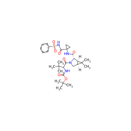 CC(C)(C)OC(=O)NC(C(=O)N1C[C@H]2[C@@H]([C@H]1C(=O)NC1(C(=O)NS(=O)(=O)c3ccccc3)CC1)C2(C)C)C(C)(C)C